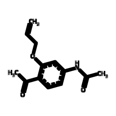 C=CCOc1cc(NC(C)=O)ccc1C(C)=O